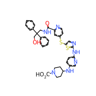 O=C(NCC(CO)(c1ccccc1)c1ccccc1)c1cc(Sc2cnc(Nc3ccc(NC4CCN(C(=O)O)CC4)cn3)s2)ccn1